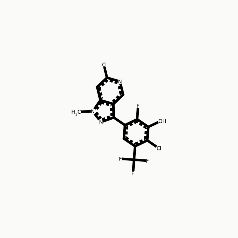 Cn1nc(-c2cc(C(F)(F)F)c(Cl)c(O)c2F)c2cnc(Cl)cc21